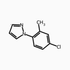 Cc1cc(Cl)ccc1-n1cc[c]n1